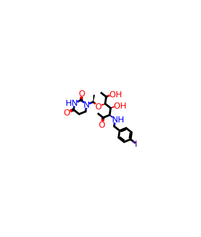 CC(=O)[C@H](NCc1ccc(I)cc1)[C@H](O)[C@@H](O[C@H](C)N1CCC(=O)NC1=O)C(C)O